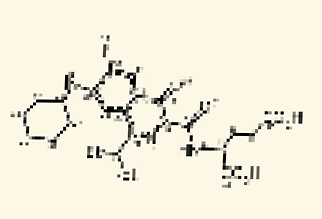 CCC(CC)n1nc(C(=O)NC(CCC(=O)O)C(=O)O)c(=O)c2cc(F)c(NC3CCCCC3)cc21